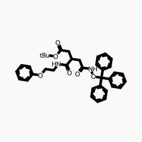 CC(C)(C)OC(=O)CC(CC(=O)NOC(c1ccccc1)(c1ccccc1)c1ccccc1)C(=O)NCCOc1ccccc1